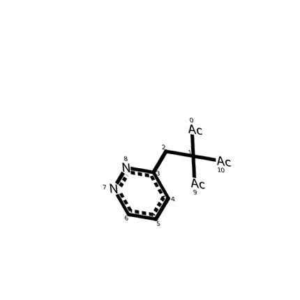 CC(=O)C(Cc1cccnn1)(C(C)=O)C(C)=O